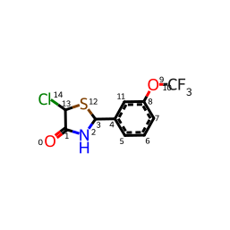 O=C1NC(c2cccc(OC(F)(F)F)c2)SC1Cl